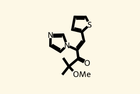 COC(C)(C)C(=O)C(=Cc1cccs1)n1ccnc1